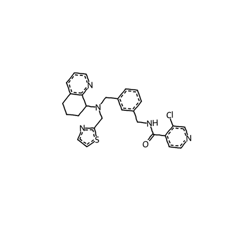 O=C(NCc1cccc(CN(Cc2nccs2)C2CCCc3cccnc32)c1)c1ccncc1Cl